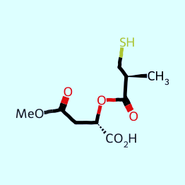 COC(=O)C[C@H](OC(=O)[C@H](C)CS)C(=O)O